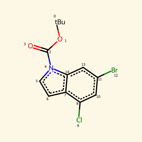 CC(C)(C)OC(=O)n1ccc2c(Cl)cc(Br)cc21